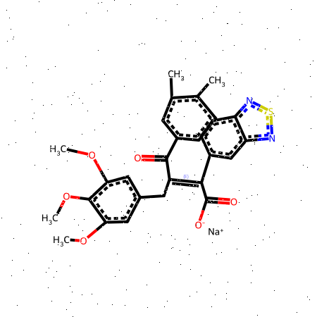 COc1cc(C/C(C(=O)c2ccc(C)c(C)c2)=C(\C(=O)[O-])c2ccc3nsnc3c2)cc(OC)c1OC.[Na+]